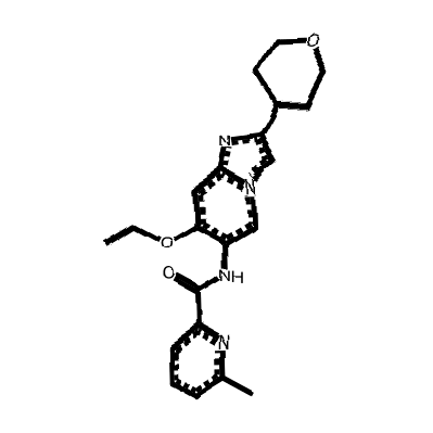 CCOc1cc2nc(C3CCOCC3)cn2cc1NC(=O)c1cccc(C)n1